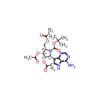 CC(=O)OC[C@@H]1[C@@H](OC(C)=O)[C@@H](OC(C)=O)[C@H](c2c[nH]c3c(N)ncnc23)N1C(=O)OC(C)(C)C